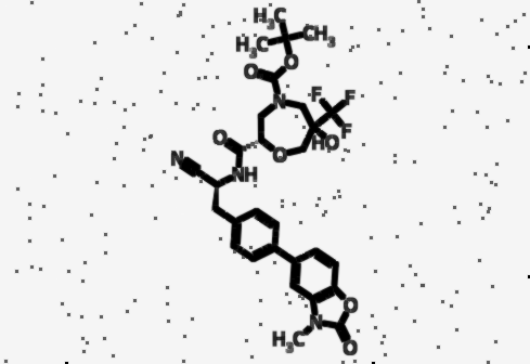 Cn1c(=O)oc2ccc(-c3ccc(C[C@@H](C#N)NC(=O)[C@@H]4CN(C(=O)OC(C)(C)C)CC(O)(C(F)(F)F)CO4)cc3)cc21